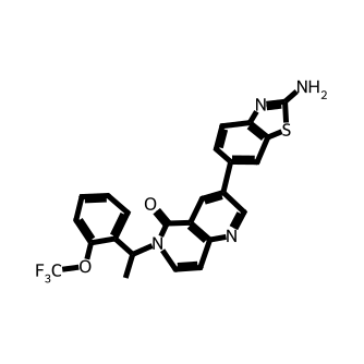 CC(c1ccccc1OC(F)(F)F)n1ccc2ncc(-c3ccc4nc(N)sc4c3)cc2c1=O